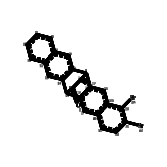 O=C1C(=O)C2c3cc4ccccc4cc3C1c1cc3ccc(Br)c(Br)c3cc12